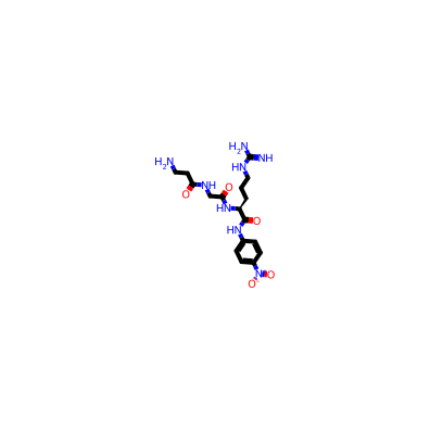 N=C(N)NCCC[C@H](NC(=O)CNC(=O)CCN)C(=O)Nc1ccc([N+](=O)[O-])cc1